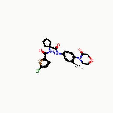 Cc1cc(NC(=O)C2(NC(=O)c3ccc(Cl)s3)CCCC2)ccc1N1CCOCC1=O